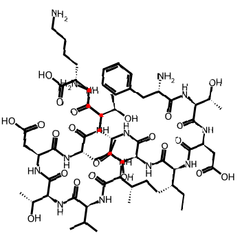 CC[C@H](C)[C@H](NC(=O)[C@H](CC(=O)O)NC(=O)[C@@H](NC(=O)[C@@H](N)Cc1ccccc1)[C@@H](C)O)C(=O)N[C@@H](CO)C(=O)N[C@@H](CCCCN)C(=O)N[C@H](C(=O)N[C@H](C(=O)N[C@H](C(=O)N[C@@H](CC(=O)O)C(=O)N[C@@H](CC(C)C)C(=O)N[C@H](C(=O)N[C@@H](CCCCN)C(=O)O)[C@@H](C)O)[C@@H](C)O)C(C)C)[C@@H](C)CC